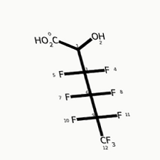 O=C(O)C(O)C(F)(F)C(F)(F)C(F)(F)C(F)(F)F